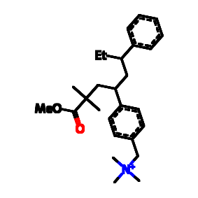 CCC(CC(CC(C)(C)C(=O)OC)c1ccc(C[N+](C)(C)C)cc1)c1ccccc1